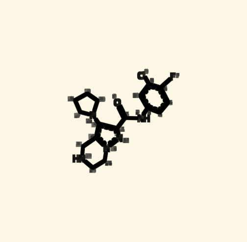 O=C(Nc1ccc(F)c(Cl)c1)c1nn2c(c1N1CCCC1)CNCC2